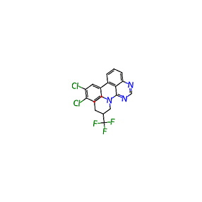 FC(F)(F)C1CCCN(c2ncnc3cccc(-c4ccc(Cl)c(Cl)c4)c23)C1